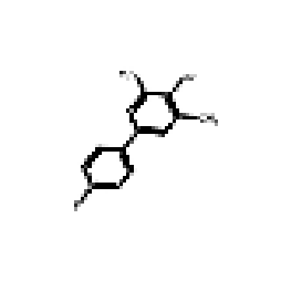 Cc1cc(-c2ccc(F)cc2)cc(C)c1C(C)C